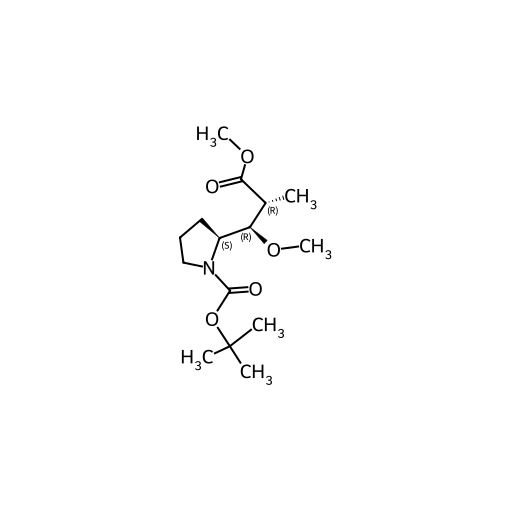 COC(=O)[C@H](C)[C@@H](OC)[C@@H]1CCCN1C(=O)OC(C)(C)C